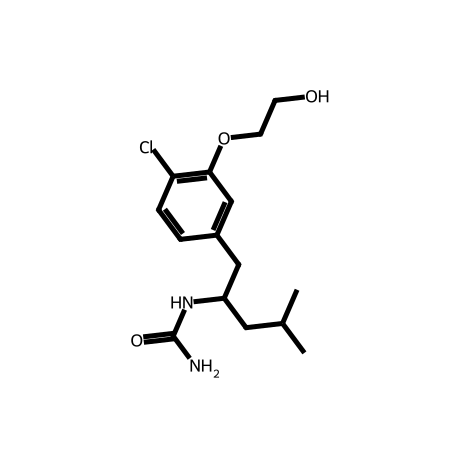 CC(C)CC(Cc1ccc(Cl)c(OCCO)c1)NC(N)=O